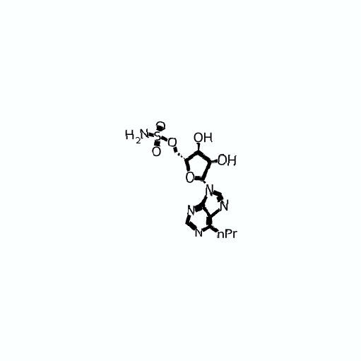 CCCc1ncnc2c1ncn2[C@@H]1O[C@H](COS(N)(=O)=O)[C@@H](O)[C@H]1O